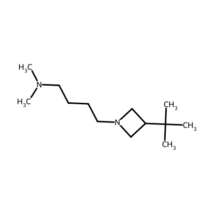 CN(C)CCCCN1CC(C(C)(C)C)C1